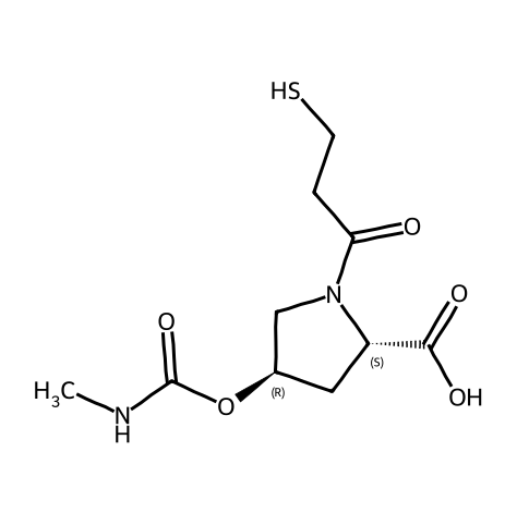 CNC(=O)O[C@@H]1C[C@@H](C(=O)O)N(C(=O)CCS)C1